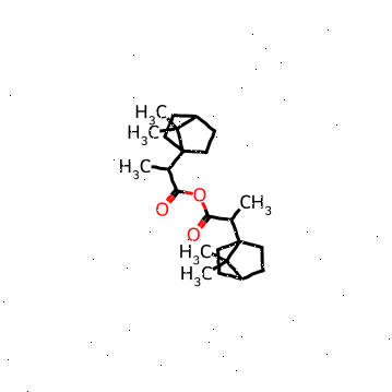 CC(C(=O)OC(=O)C(C)C12CCC(CC1)C2(C)C)C12CCC(CC1)C2(C)C